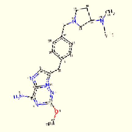 CCCCOc1nc(N)c2ncc(Cc3ccc(CN4CCC(N(C)C)C4)cc3)n2n1